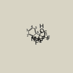 Nc1ccccc1C(O)(C(F)(F)F)C(F)(F)F